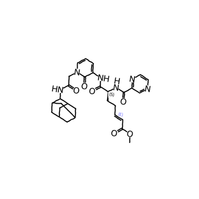 COC(=O)/C=C/CC[C@H](NC(=O)c1cnccn1)C(=O)Nc1cccn(CC(=O)NC2C3CC4CC(C3)CC2C4)c1=O